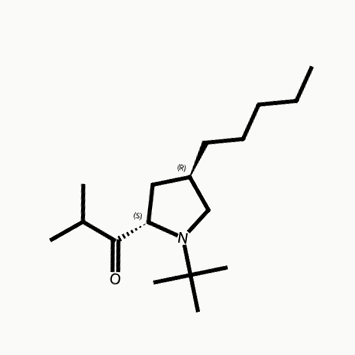 CCCCC[C@@H]1C[C@@H](C(=O)C(C)C)N(C(C)(C)C)C1